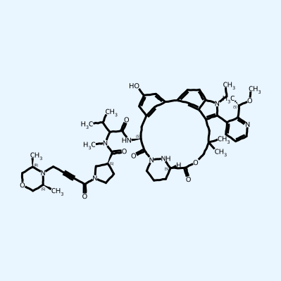 CCn1c(-c2cccnc2[C@H](C)OC)c2c3cc(ccc31)-c1cc(O)cc(c1)C[C@H](NC(=O)C(C(C)C)N(C)C(=O)[C@H]1CCN(C(=O)C#CCN3[C@H](C)COC[C@@H]3C)C1)C(=O)N1CCC[C@H](N1)C(=O)OCC(C)(C)C2